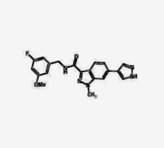 COc1cc(F)cc(CNC(=O)c2nn(C)c3cc(-c4cn[nH]c4)ccc23)c1